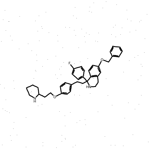 Fc1ccc(C2(CCc3ccc(OCCC4CCCCN4)cc3)NCCc3cc(OCc4ccccc4)ccc32)cc1